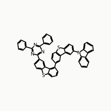 c1ccc(-c2nc(-c3ccccc3)nc(-c3ccc4sc5cccc(-c6ccc7sc8ccc(-n9c%10ccccc%10c%10ccccc%109)cc8c7c6)c5c4c3)n2)cc1